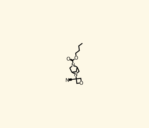 CCCCOC(=O)N1CC2CC1CN2C1(C#N)COC1